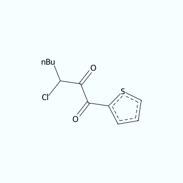 CCCCC(Cl)C(=O)C(=O)c1cccs1